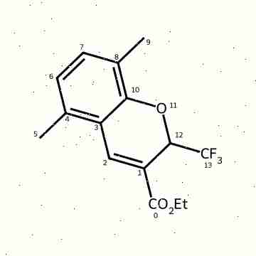 CCOC(=O)C1=Cc2c(C)ccc(C)c2OC1C(F)(F)F